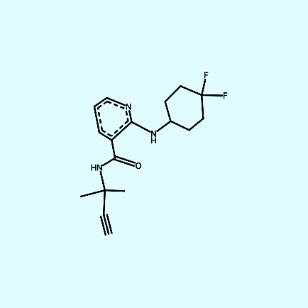 C#CC(C)(C)NC(=O)c1cccnc1NC1CCC(F)(F)CC1